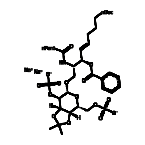 CCCCCCCCCCCCC/C=C/[C@@H](OC(=O)c1ccccc1)[C@H](CO[C@@H]1O[C@H](COS(=O)(=O)[O-])[C@@H]2OC(C)(C)O[C@@H]2[C@H]1OS(=O)(=O)[O-])NC(=O)CCCCC.[Na+].[Na+]